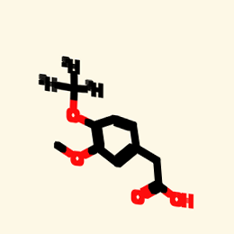 [2H]C([2H])([2H])Oc1ccc(CC(=O)O)cc1OC